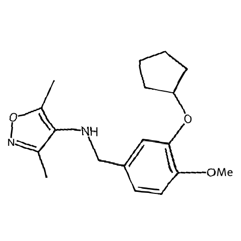 COc1ccc(CNc2c(C)noc2C)cc1OC1CCCC1